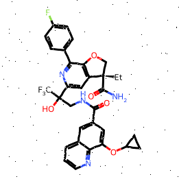 CC[C@]1(C(N)=O)COc2c1cc(C(O)(CNC(=O)c1cc(OC3CC3)c3ncccc3c1)C(F)(F)F)nc2-c1ccc(F)cc1